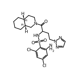 Nc1cc(Cl)cc(Cl)c1S(=O)(=O)NC(CCn1nccn1)C(=O)N1CC[C@H]2CCCC[C@H]2C1